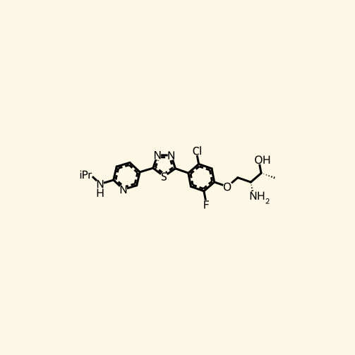 CC(C)Nc1ccc(-c2nnc(-c3cc(F)c(OC[C@@H](N)[C@@H](C)O)cc3Cl)s2)cn1